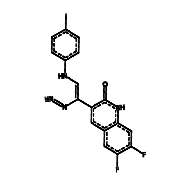 Cc1ccc(N/C=C(\N=N)c2cc3cc(F)c(F)cc3[nH]c2=O)cc1